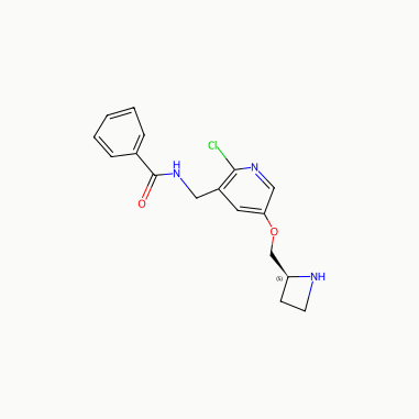 O=C(NCc1cc(OC[C@@H]2CCN2)cnc1Cl)c1ccccc1